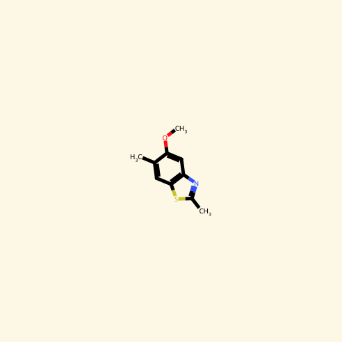 COc1cc2nc(C)sc2cc1C